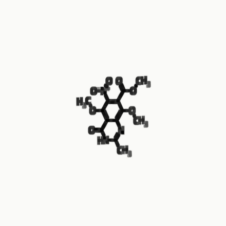 COC(=O)c1c([N+](=O)[O-])c(OC)c2c(=O)[nH]c(C)nc2c1OC